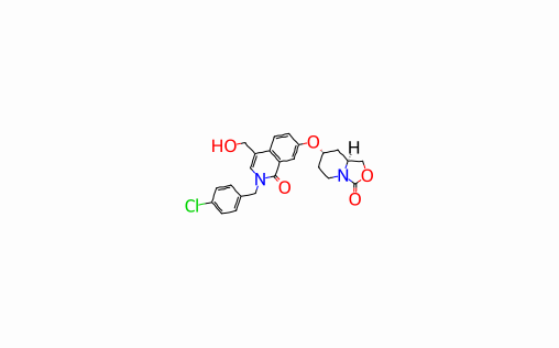 O=C1OC[C@@H]2C[C@@H](Oc3ccc4c(CO)cn(Cc5ccc(Cl)cc5)c(=O)c4c3)CCN12